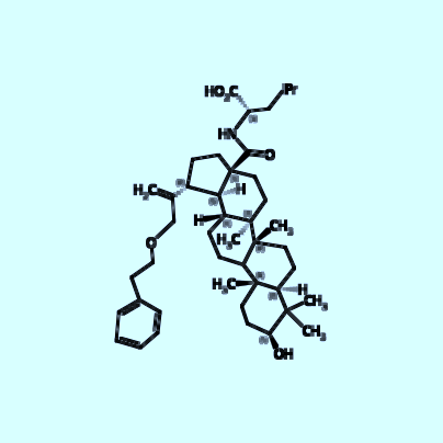 C=C(COCCc1ccccc1)[C@@H]1CC[C@]2(C(=O)N[C@@H](CC(C)C)C(=O)O)CC[C@]3(C)[C@H](CCC4[C@@]5(C)CC[C@H](O)C(C)(C)[C@@H]5CC[C@]43C)[C@@H]12